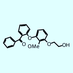 COc1c(OCCO)cccc1Oc1ccccc1C(=O)c1ccccc1